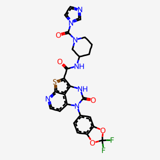 O=C(NC1CCCN(C(=O)n2ccnc2)C1)c1sc2nccc3c2c1NC(=O)N3c1ccc2c(c1)OC(F)(F)O2